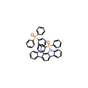 O=P(c1ccccc1)(c1ccccc1)c1cccc(-n2c3ccccc3c3ccc4c5ccccc5n(P(=O)(c5ccccc5)c5ccccc5)c4c32)c1